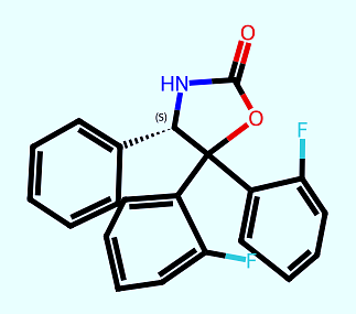 O=C1N[C@@H](c2ccccc2)C(c2ccccc2F)(c2ccccc2F)O1